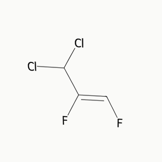 FC=C(F)C(Cl)Cl